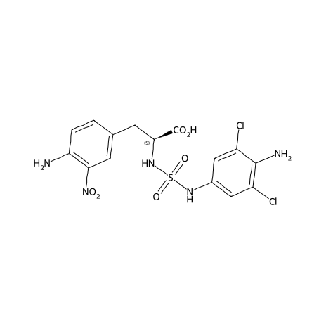 Nc1ccc(C[C@H](NS(=O)(=O)Nc2cc(Cl)c(N)c(Cl)c2)C(=O)O)cc1[N+](=O)[O-]